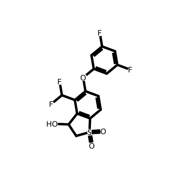 O=S1(=O)CC(O)c2c1ccc(Oc1cc(F)cc(F)c1)c2C(F)F